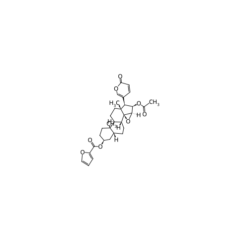 CC(=O)O[C@H]1[C@H]2O[C@]23[C@@H]2CC[C@@H]4C[C@@H](OC(=O)c5ccco5)CC[C@]4(C)[C@H]2CC[C@]3(C)[C@H]1c1ccc(=O)oc1